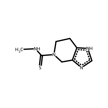 CNC(=S)N1CCc2[nH]cnc2C1